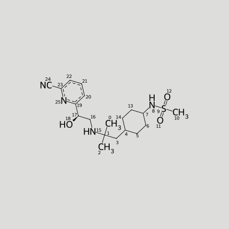 CC(C)(CC1CCC(NS(C)(=O)=O)CC1)NC[C@@H](O)c1cccc(C#N)n1